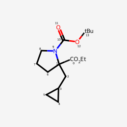 CCOC(=O)C1(CC2CC2)CCCN1C(=O)OC(C)(C)C